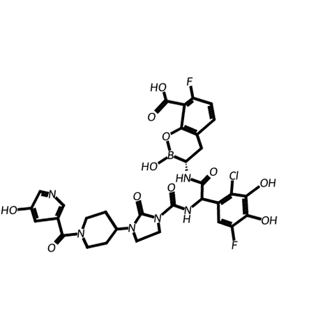 O=C(O)c1c(F)ccc2c1OB(O)[C@@H](NC(=O)C(NC(=O)N1CCN(C3CCN(C(=O)c4cncc(O)c4)CC3)C1=O)c1cc(F)c(O)c(O)c1Cl)C2